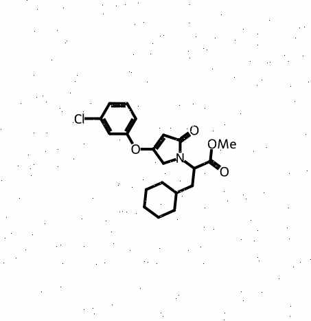 COC(=O)C(CC1CCCCC1)N1CC(Oc2cccc(Cl)c2)=CC1=O